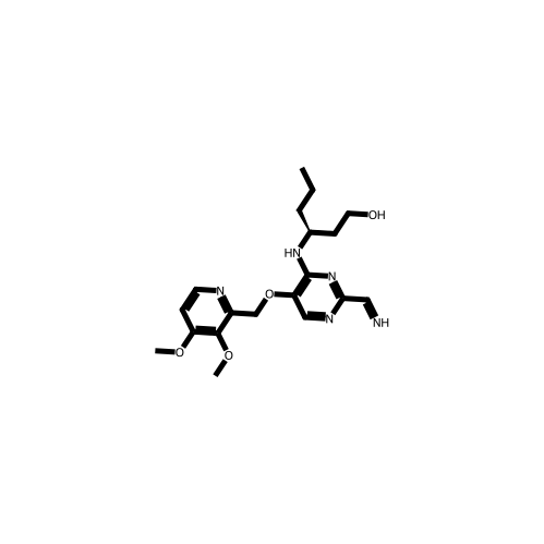 CCC[C@@H](CCO)Nc1nc(C=N)ncc1OCc1nccc(OC)c1OC